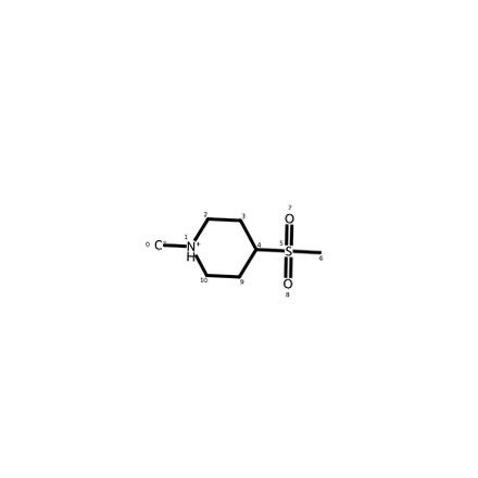 [CH2-][NH+]1CCC(S(C)(=O)=O)CC1